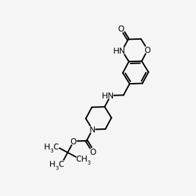 CC(C)(C)OC(=O)N1CCC(NCc2ccc3c(c2)NC(=O)CO3)CC1